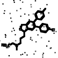 Cc1ccc(-c2cc3c(cc2-c2ccc(Cl)cc2)C(CCCN(C)CC(=O)O)OC3)cc1